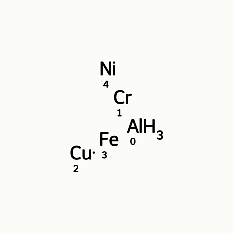 [AlH3].[Cr].[Cu].[Fe].[Ni]